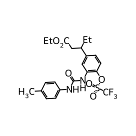 CCOC(=O)CC(CC)c1ccc(OS(=O)(=O)C(F)(F)F)c(NC(=O)Nc2ccc(C)cc2)c1